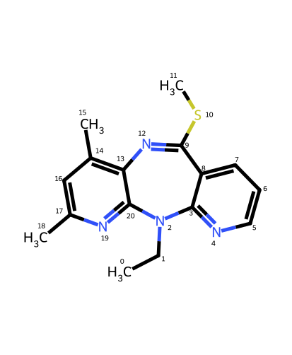 CCN1c2ncccc2C(SC)=Nc2c(C)cc(C)nc21